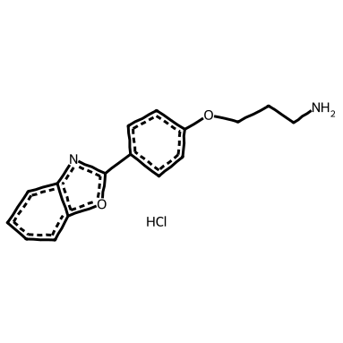 Cl.NCCCOc1ccc(-c2nc3ccccc3o2)cc1